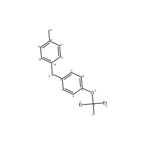 CCC(C)(CC)Oc1ccc(Sc2ccc(C)cc2)cc1